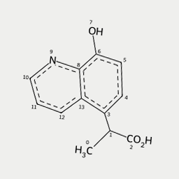 CC(C(=O)O)c1ccc(O)c2ncccc12